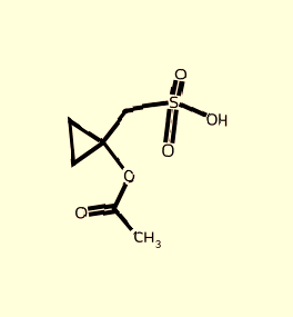 CC(=O)OC1(CS(=O)(=O)O)CC1